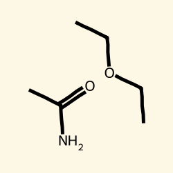 CC(N)=O.CCOCC